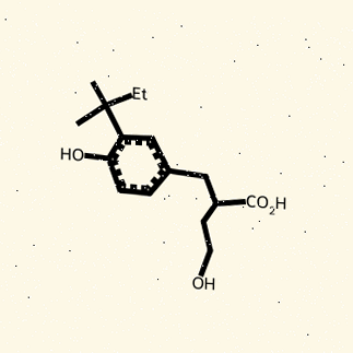 CCC(C)(C)c1cc(CC(CCO)C(=O)O)ccc1O